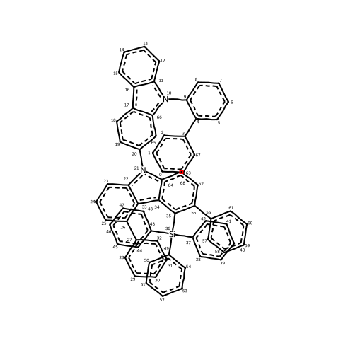 c1ccc(-c2ccccc2-n2c3ccccc3c3ccc(-n4c5cccc(-c6ccccc6)c5c5c([Si](c6ccccc6)(c6ccccc6)c6ccccc6)c(-c6ccccc6)ccc54)cc32)cc1